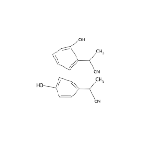 CC(C#N)c1ccc(O)cc1.CC(C#N)c1ccccc1O